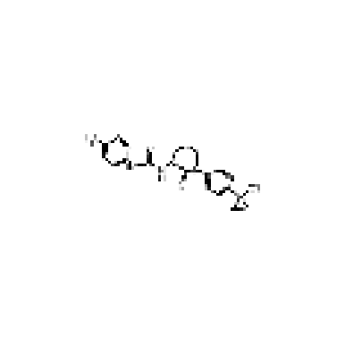 N#CC1(c2ccc(N3CCC[C@H](NC(=O)Nc4ccc(C(F)(F)F)cc4)C3=O)cc2)CC1